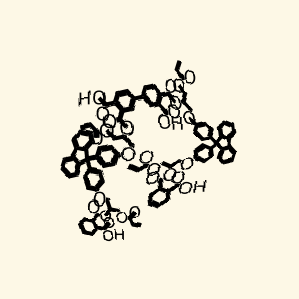 C=CC(=O)OCC(COc1ccc(C2(c3ccc(OCC(COC(=O)C=C)OC(=O)C4CC=CCC4C(=O)O)cc3)c3ccccc3-c3ccccc32)cc1)OC(=O)c1ccc(-c2ccc(C(=O)O)c(C(=O)OC(COC(=O)C=C)COc3ccc(C4(c5ccc(OCC(COC(=O)C=C)OC(=O)C6CC=CCC6C(=O)O)cc5)c5ccccc5-c5ccccc54)cc3)c2)cc1C(=O)O